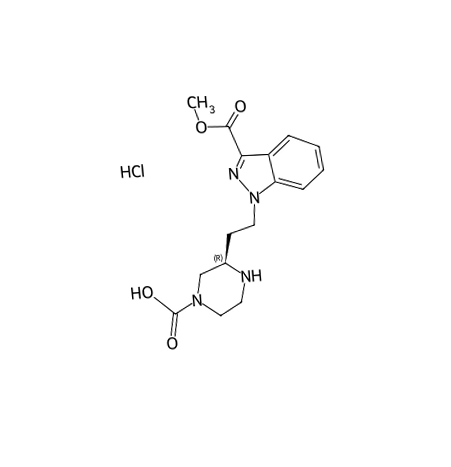 COC(=O)c1nn(CC[C@@H]2CN(C(=O)O)CCN2)c2ccccc12.Cl